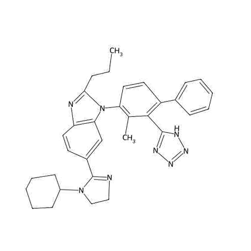 CCCc1nc2ccc(C3=NCCN3C3CCCCC3)cc2n1-c1ccc(-c2ccccc2)c(-c2nnn[nH]2)c1C